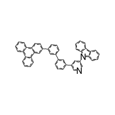 c1cc(-c2cccc(-c3ccc4c5ccccc5c5ccccc5c4c3)c2)cc(-c2cncc(-n3c4ccccc4c4ccccc43)c2)c1